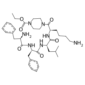 CCOC(=O)N1CCN(C(=O)[C@@H](CCCCN)NC(=O)[C@@H](CC(C)C)NC(=O)[C@@H](Cc2ccccc2)NC(=O)[C@H](N)Cc2ccccc2)CC1